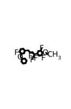 CCOc1c(F)cc(C(=CC=Cc2ccc(F)c(Oc3ccccc3)c2)C(F)(F)F)cc1F